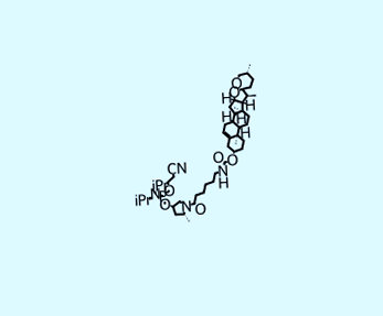 CC(C)N(C(C)C)P(OCCC#N)O[C@@H]1C[C@@H](C)N(C(=O)CCCCCNC(=O)O[C@H]2CC[C@@]3(C)C(=CC[C@H]4[C@@H]5C[C@@H]6OC7(CC[C@@H](C)CO7)[C@@H](C)[C@@H]6[C@@]5(C)CC[C@@H]43)C2)C1